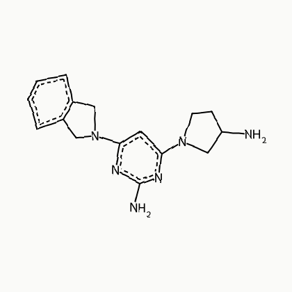 Nc1nc(N2Cc3ccccc3C2)cc(N2CCC(N)C2)n1